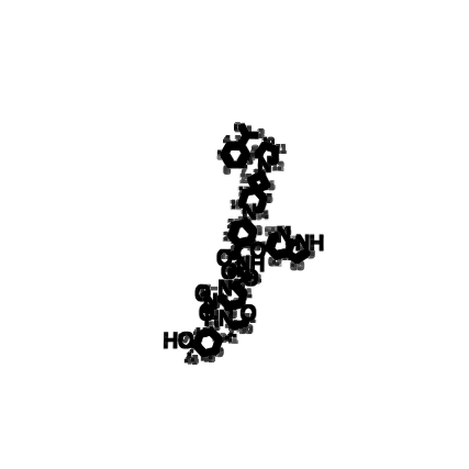 CC(C)c1ccccc1[C@@H]1CCCN1C1CC2(CCN(c3ccc(C(=O)NS(=O)(=O)c4cc5c(c([N+](=O)[O-])n4)N[C@@H](C[C@H]4CC[C@](C)(O)CC4)CO5)c(Oc4cnc5[nH]ccc5c4)c3)CC2)C1